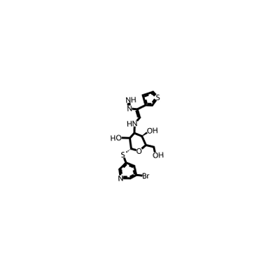 N=N/C(=C\NC1C(O)[C@@H](Sc2cncc(Br)c2)OC(CO)[C@@H]1O)c1ccsc1